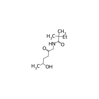 CCC(C)(C)C(=O)NCC(=O)CCC(C)O